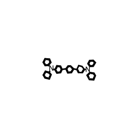 C1=C(c2ccc(-c3ccc(N(c4ccccc4)c4ccccc4)cc3)cc2)CCC(N(c2ccccc2)c2ccccc2)=C1